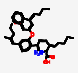 C=C(/C=C\C(=C/CCCC)C(N)C(=O)O)c1ccc(C=C(C)CCC)cc1OC(/C=C(\C)CC)=C/C(=C\CCC)c1ccccc1